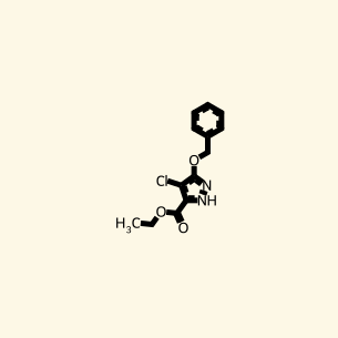 CCOC(=O)c1[nH]nc(OCc2ccccc2)c1Cl